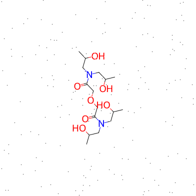 CC(O)CN(CC(C)O)C(=O)COCC(=O)N(CC(C)O)CC(C)O